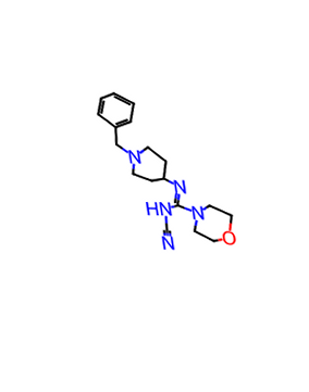 N#CN/C(=N\C1CCN(Cc2ccccc2)CC1)N1CCOCC1